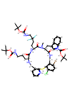 CN1C(=O)[C@H](CCC(F)(F)CNC(=O)OC(C)(C)C)NC(=O)[C@H](CCCNC(=O)OC(C)(C)C)NCc2cccnc2Sc2c(Cl)ccc(Br)c2CNC(=O)[C@@H]1Cc1cn(C(=O)OC(C)(C)C)c2ccccc12